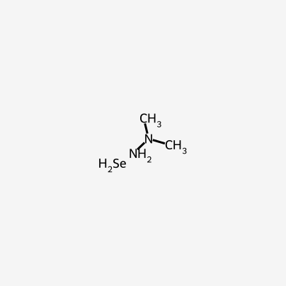 CN(C)N.[SeH2]